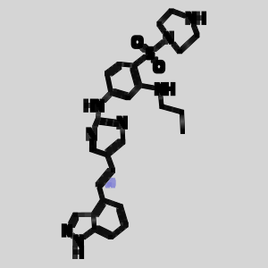 CCCNc1cc(Nc2ncc(/C=C/c3cccc4[nH]ncc34)cn2)ccc1S(=O)(=O)N1CCNCC1